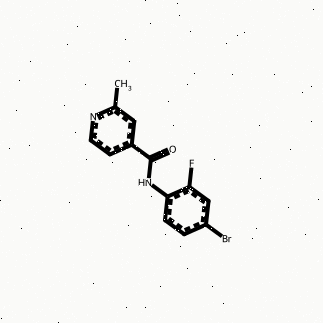 Cc1cc(C(=O)Nc2ccc(Br)cc2F)ccn1